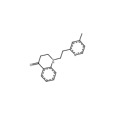 Cc1ccnc(CC[SH]2CCC(=O)c3ccccc32)c1